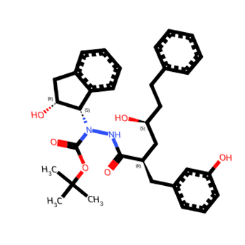 CC(C)(C)OC(=O)N(NC(=O)[C@H](Cc1cccc(O)c1)C[C@@H](O)CCc1ccccc1)[C@H]1c2ccccc2C[C@H]1O